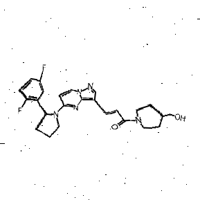 O=C(C=Cc1cnn2ccc(N3CCCC3c3cc(F)ccc3F)nc12)N1CCC(O)CC1